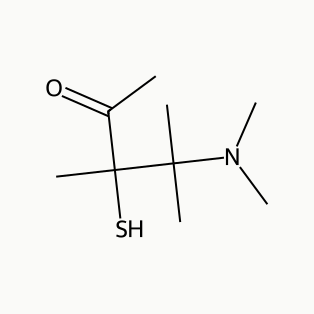 CC(=O)C(C)(S)C(C)(C)N(C)C